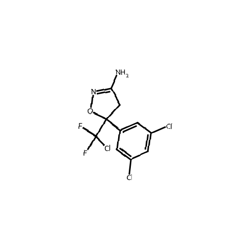 NC1=NOC(c2cc(Cl)cc(Cl)c2)(C(F)(F)Cl)C1